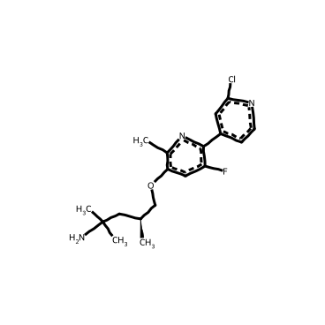 Cc1nc(-c2ccnc(Cl)c2)c(F)cc1OC[C@@H](C)CC(C)(C)N